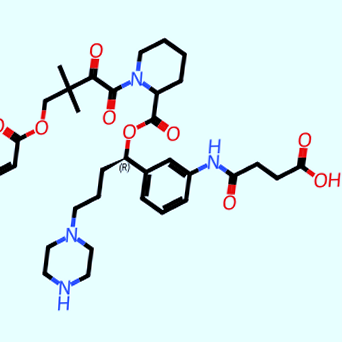 C=CC(=O)OCC(C)(C)C(=O)C(=O)N1CCCCC1C(=O)O[C@H](CCCN1CCNCC1)c1cccc(NC(=O)CCC(=O)O)c1